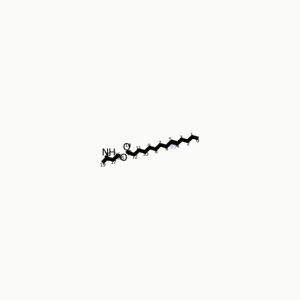 CCCC/C=C/CCCCCCCC(=O)OCCC(C)N